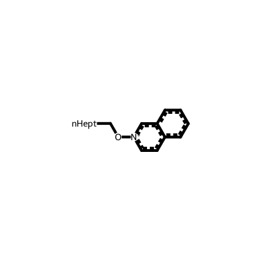 CCCCCCCCO[n+]1ccc2ccccc2c1